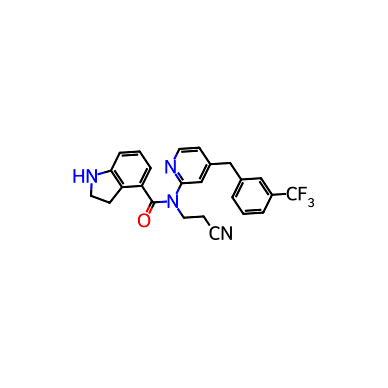 N#CCCN(C(=O)c1cccc2c1CCN2)c1cc(Cc2cccc(C(F)(F)F)c2)ccn1